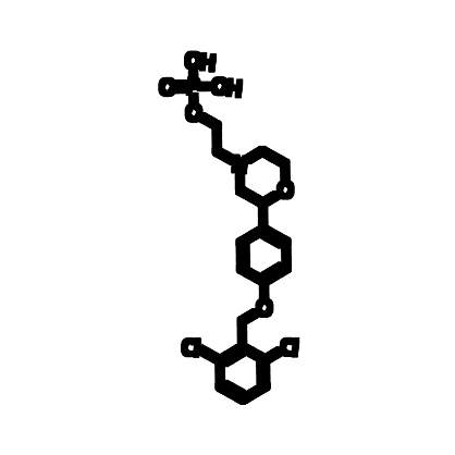 O=P(O)(O)OCCN1CCOC(c2ccc(OCc3c(Cl)cccc3Cl)cc2)C1